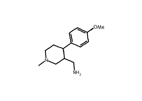 COc1ccc(C2CCN(C)CC2CN)cc1